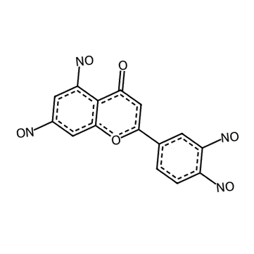 O=Nc1cc(N=O)c2c(=O)cc(-c3ccc(N=O)c(N=O)c3)oc2c1